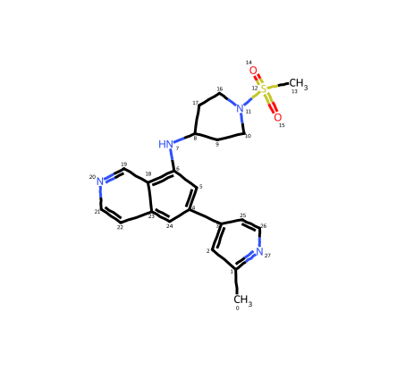 Cc1cc(-c2cc(NC3CCN(S(C)(=O)=O)CC3)c3cnccc3c2)ccn1